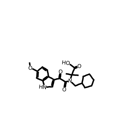 COc1ccc2c(C(=O)C(=O)N(CC3CCCCC3)C(C)(C)C(=O)O)c[nH]c2c1